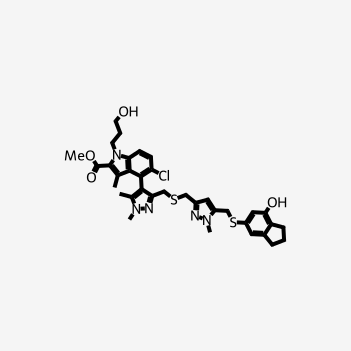 COC(=O)c1c(C)c2c(-c3c(CSCc4cc(CSc5cc(O)c6c(c5)CCC6)n(C)n4)nn(C)c3C)c(Cl)ccc2n1CCCO